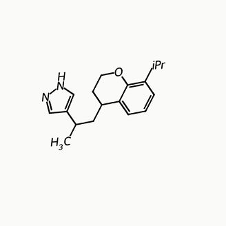 CC(C)c1cccc2c1OCCC2CC(C)c1cn[nH]c1